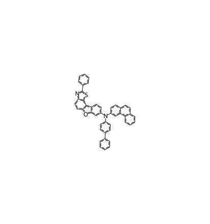 c1ccc(-c2ccc(N(c3ccc4c(c3)oc3ccc5nc(-c6ccccc6)sc5c34)c3ccc4ccc5ccccc5c4c3)cc2)cc1